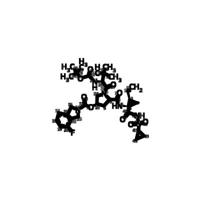 C=C[C@H]1C[C@@]1(NC(=O)C1C[C@@H](OC(=O)N2Cc3cccc(F)c3C2)CN1C(=O)[C@@H](NC(=O)OC(C)(C)C)C(C)(C)C)C(=O)NS(=O)(=O)C1CC1